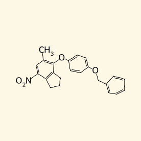 Cc1cc([N+](=O)[O-])c2c(c1Oc1ccc(OCc3ccccc3)cc1)CCC2